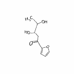 CC(O)C(O)CC(=O)c1ccco1